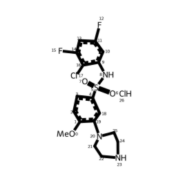 COc1ccc(S(=O)(=O)Nc2cc(F)cc(F)c2Cl)cc1N1CCNCC1.Cl